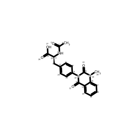 CC(=O)N[C@@H](Cc1ccc(-n2c(=O)c3ccccc3n(C)c2=O)cc1)C(=O)O